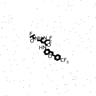 CC(C)(F)C(=O)NCc1cnc(C(F)F)c(C(=O)Nc2ccc3oc(-c4ccc(C(F)(F)F)cc4)cc3c2)c1